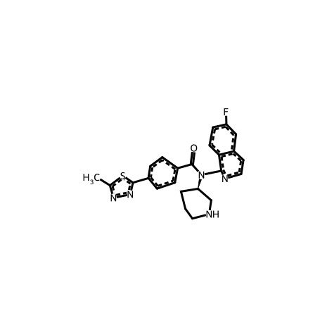 Cc1nnc(-c2ccc(C(=O)N(c3nccc4cc(F)ccc34)[C@@H]3CCCNC3)cc2)s1